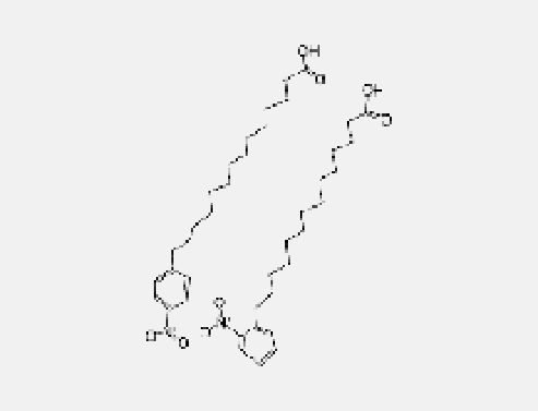 O=C(O)CCCCCCCCCCCCCc1ccc([N+](=O)[O-])cc1.O=C(O)CCCCCCCCCCCCCc1ccccc1[N+](=O)[O-]